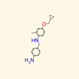 Cc1cc(OCC2CC2)ccc1NCc1ccc(N)cc1